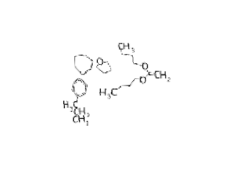 C1CCCCC1.C1CCOC1.C=C(OCCCC)OCCCC.CC.Cc1ccccc1